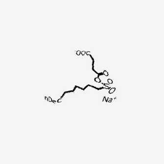 CCCCCCCCCCCCCCCCS(=O)(=O)OC(=O)CCC(=O)[O-].[Na+]